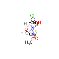 CCOC(=O)c1csc(N([C@@H](C=O)C(C)C)N2CC[C@](O)(c3ccc(Cl)cc3)C(C)(C)C2)n1